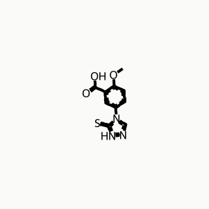 COc1ccc(-n2cn[nH]c2=S)cc1C(=O)O